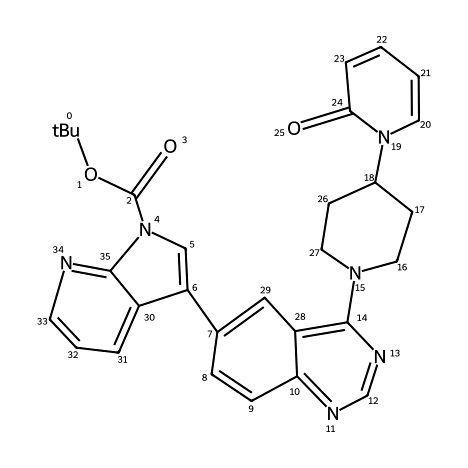 CC(C)(C)OC(=O)n1cc(-c2ccc3ncnc(N4CCC(n5ccccc5=O)CC4)c3c2)c2cccnc21